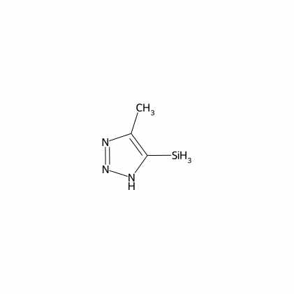 Cc1nn[nH]c1[SiH3]